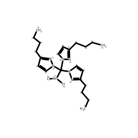 CCCCc1ccn([C](n2ccc(CCCC)n2)(n2ccc(CCCC)n2)[Mn]([Cl])[Cl])n1